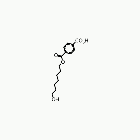 O=C(O)c1ccc(C(=O)OCCCCCCCO)cc1